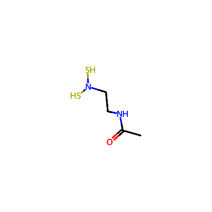 CC(=O)NCCN(S)S